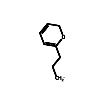 [CH2]CCC1=CC=CCO1